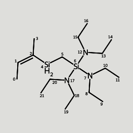 CC=C(C)[SiH2]C[Si](N(CC)CC)(N(CC)CC)N(CC)CC